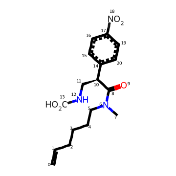 C=CCCCCN(C)C(=O)[C@@H](CNC(=O)O)c1ccc([N+](=O)[O-])cc1